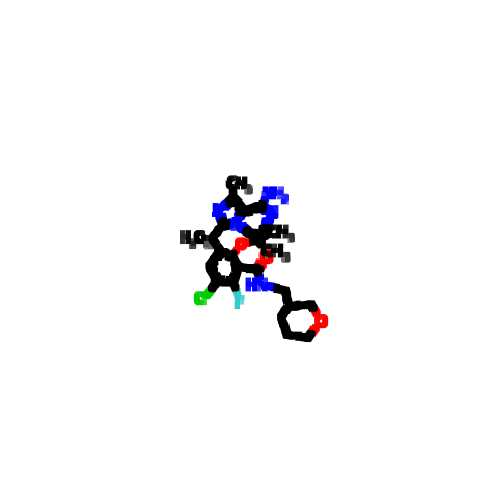 Cc1nc([C@@H](C)c2cc(Cl)c(F)c(C(=O)NCC3CCCOC3)c2OC(C)C)n2ccnc(N)c12